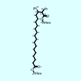 CCCCCCOC(=O)CCCCCCCCCCCCCCCC(C(C)C)C(C(=O)OCCCCCC)C(C)C